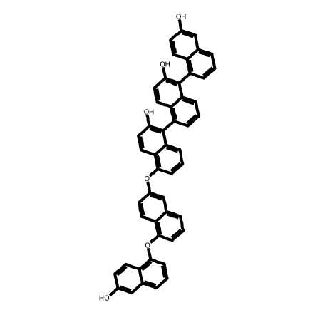 Oc1ccc2c(Oc3cccc4cc(Oc5cccc6c(-c7cccc8c(-c9cccc%10cc(O)ccc9%10)c(O)ccc78)c(O)ccc56)ccc34)cccc2c1